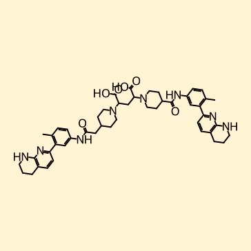 Cc1ccc(NC(=O)CC2CCN(C(CC(C(=O)O)N3CCC(C(=O)Nc4ccc(C)c(-c5ccc6c(n5)NCCC6)c4)CC3)C(=O)O)CC2)cc1-c1ccc2c(n1)NCCC2